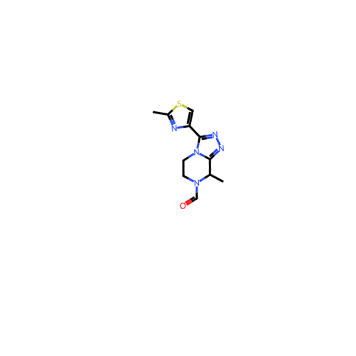 Cc1nc(-c2nnc3n2CCN(C=O)C3C)cs1